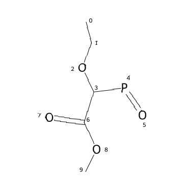 CCOC(P=O)C(=O)OC